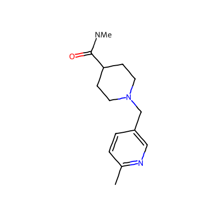 CNC(=O)C1CCN(Cc2ccc(C)nc2)CC1